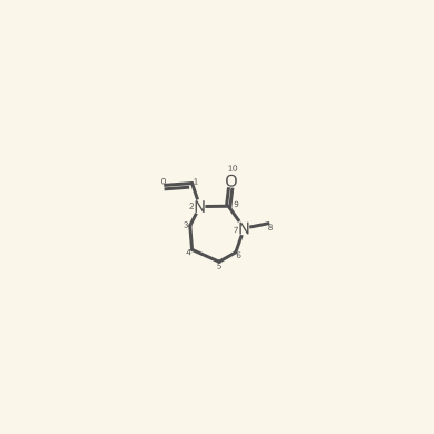 C=CN1CCCCN(C)C1=O